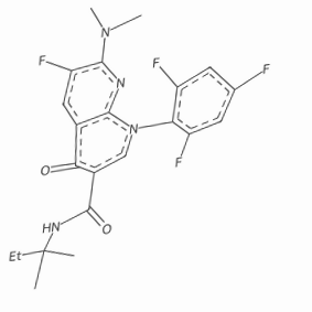 CCC(C)(C)NC(=O)c1cn(-c2c(F)cc(F)cc2F)c2nc(N(C)C)c(F)cc2c1=O